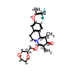 BC(Oc1ccc2c(c1)CCn1c(OC[C@@H]3COCCO3)c(B)c(=O)c(C)c1-2)=C(F)F